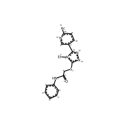 CCn1c(SCC(=O)Nc2ccccc2)nnc1-c1ccc(C(C)=O)nc1